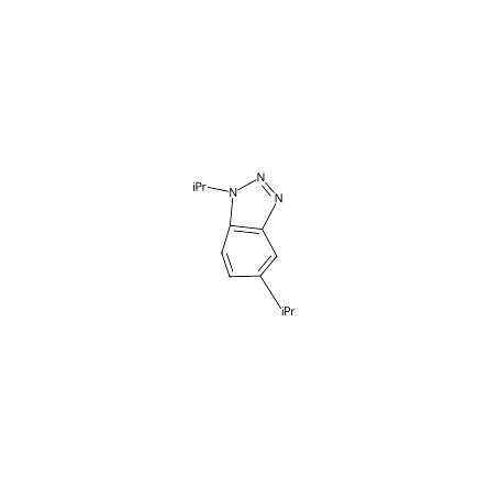 CC(C)c1ccc2c(c1)nnn2C(C)C